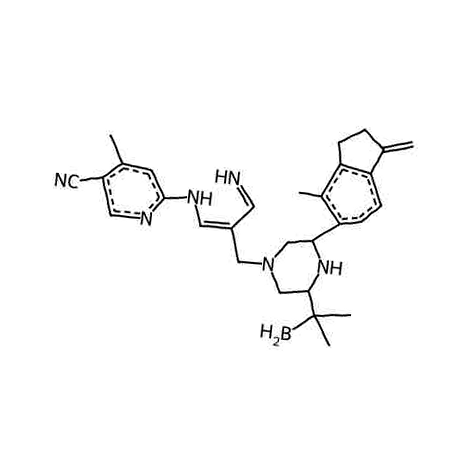 BC(C)(C)C1CN(C/C(C=N)=C/Nc2cc(C)c(C#N)cn2)CC(c2ccc3c(c2C)CCC3=C)N1